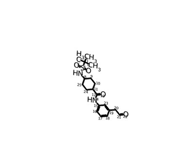 CC(C)(C)S(=O)(=O)NC1CCC(C(=O)Nc2cccc(CC=O)c2)CC1